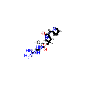 C[C@@]1(COC(=O)NCCNC(=N)N)CC2/C(=C\c3ccccn3)C(=O)N2[C@H]1C(=O)O